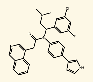 CN(C)CC(c1cc(F)cc(Cl)c1)N(C(=O)Cc1cncc2ccccc12)c1ccc(-c2c[nH]cn2)cc1